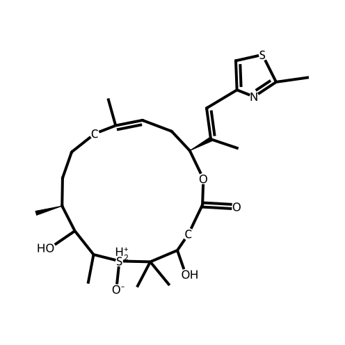 CC1=CC[C@@H](C(C)=Cc2csc(C)n2)OC(=O)CC(O)C(C)(C)[SH2+]([O-])C(C)C(O)[C@@H](C)CCC1